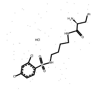 CC(C)C[C@H](N)C(=O)NCCCCNS(=O)(=O)c1ccc(Cl)cc1Cl.Cl